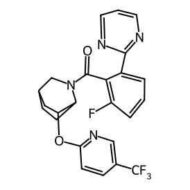 O=C(c1c(F)cccc1-c1ncccn1)N1CC2CCC1C(Oc1ccc(C(F)(F)F)cn1)C2